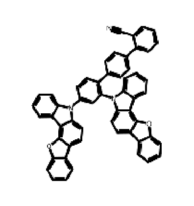 N#Cc1ccccc1-c1ccc(-c2ccc(-n3c4ccccc4c4c5oc6ccccc6c5ccc43)cc2-n2c3ccccc3c3c4oc5ccccc5c4ccc32)cc1